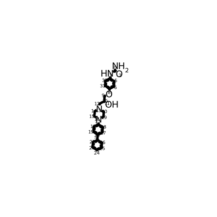 NC(=O)Nc1ccc(OCC(O)CN2CCN(c3ccc(-c4ccccc4)cc3)CC2)cc1